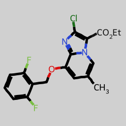 CCOC(=O)c1c(Cl)nc2c(OCc3c(F)cccc3F)cc(C)cn12